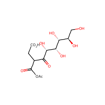 CC(=O)OC(=O)C(CC(=O)O)C(=O)[C@H](O)[C@@H](O)[C@H](O)[C@H](O)CO